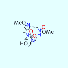 COC(=O)NCCCc1cc(C(C)N(C(=O)[C@H]2CN(C(=O)O)CCO2)C2CC2)cc(OC)n1